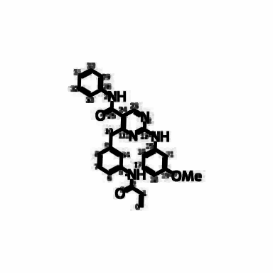 C=CC(=O)Nc1cccc(Cc2nc(Nc3cccc(OC)c3)ncc2C(=O)Nc2ccccc2)c1